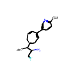 COc1ccc(C2=CC=C(C(OC)C(N)CF)CC=C2)cn1